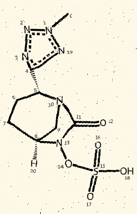 Cn1nnc([C@H]2CC[C@H]3CN2C(=O)N3OS(=O)(=O)O)n1